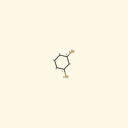 BrC1[CH]CCC(Br)C1